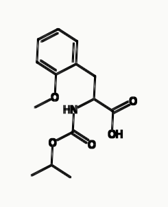 COc1ccccc1CC(NC(=O)OC(C)C)C(=O)O